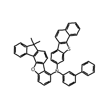 CC1(C)c2ccccc2-c2c1ccc1c2oc2cccc(N(c3cccc(-c4ccccc4)c3)c3ccc4c(c3)sc3c5ccccc5ccc43)c21